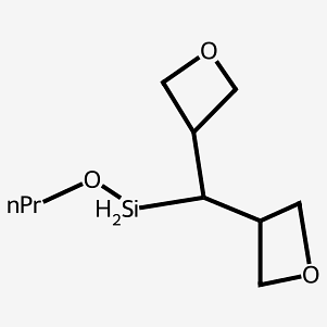 CCCO[SiH2]C(C1COC1)C1COC1